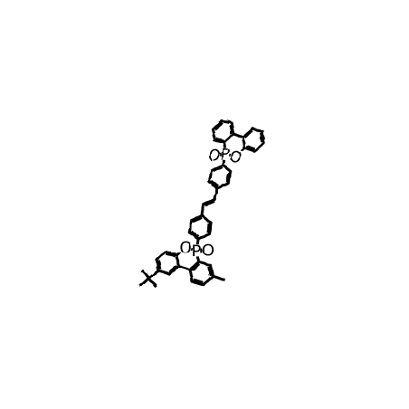 Cc1ccc2c(c1)P(=O)(c1ccc(/C=C/c3ccc(P4(=O)Oc5ccccc5-c5ccccc54)cc3)cc1)Oc1ccc(C(C)(C)C)cc1-2